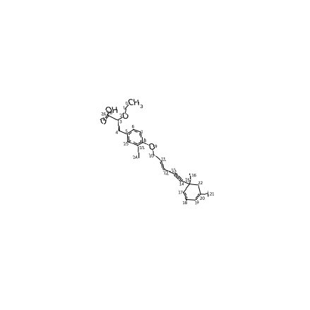 CCO[C@@H](Cc1ccc(OC/C=C/C#CC2(I)C=CC=C(I)C2)c(I)c1)C(=O)O